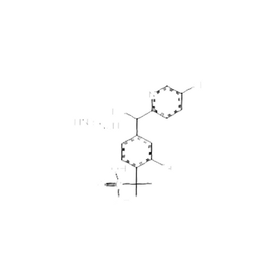 O=P(O)(O)C(F)(F)c1ccc(C(S)c2ccc(Cl)cn2)cc1Br.[NaH].[NaH]